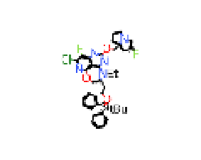 CCN1c2nc(OC[C@@]34CCCN3C[C@H](F)C4)nc3c(F)c(Cl)nc(c23)OC[C@@H]1CCO[Si](c1ccccc1)(c1ccccc1)C(C)(C)C